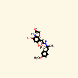 COc1ccc(CC(C)(C)NC(O)Cc2ccc(O)c3c2OCC(=O)N3)cc1